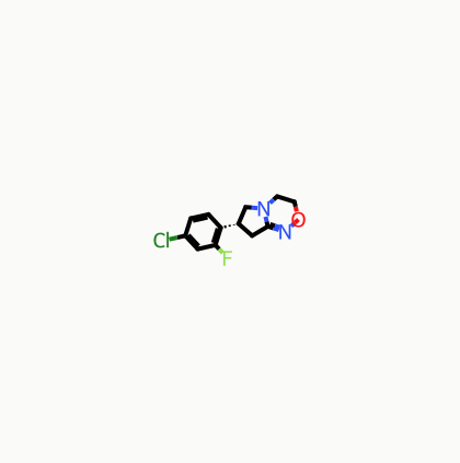 Fc1cc(Cl)ccc1[C@H]1CC2=NOCCN2C1